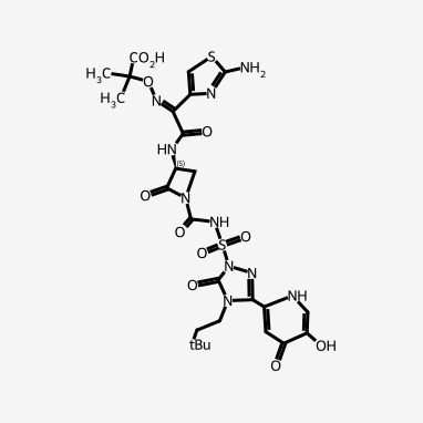 CC(C)(C)CCn1c(-c2cc(=O)c(O)c[nH]2)nn(S(=O)(=O)NC(=O)N2C[C@H](NC(=O)C(=NOC(C)(C)C(=O)O)c3csc(N)n3)C2=O)c1=O